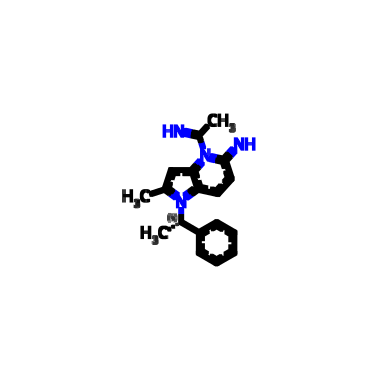 CC(=N)n1c(=N)ccc2c1cc(C)n2[C@@H](C)c1ccccc1